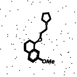 COc1ccc2c(c1)C(OCCN1CCCC1)CC=C2